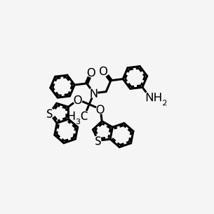 CC(Oc1csc2ccccc12)(Oc1csc2ccccc12)N(CC(=O)c1cccc(N)c1)C(=O)c1ccccc1